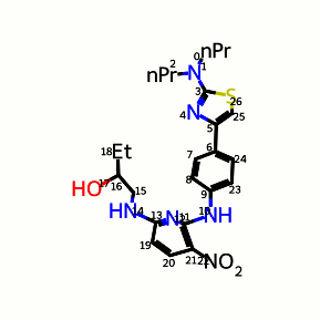 CCCN(CCC)c1nc(-c2ccc(Nc3nc(NCC(O)CC)ccc3[N+](=O)[O-])cc2)cs1